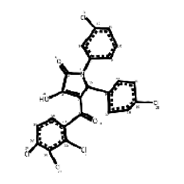 O=C(C1=C(O)C(=O)N(c2cccc(Cl)c2)C1c1ccc(Cl)cc1)c1ccc(Cl)c(Cl)c1Cl